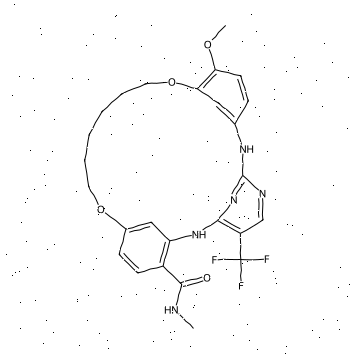 CNC(=O)c1ccc2cc1Nc1nc(ncc1C(F)(F)F)Nc1ccc(OC)c(c1)OCCCCCCO2